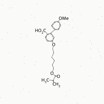 C=C(C)C(=O)OCCCCCCOc1ccc(C(=O)O)c(-c2ccc(OC)cc2)c1